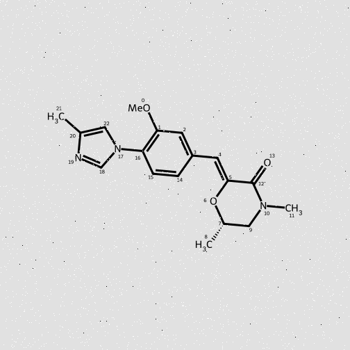 COc1cc(/C=C2\O[C@@H](C)CN(C)C2=O)ccc1-n1cnc(C)c1